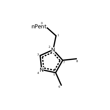 CCCCCCn1cnc(C)c1C